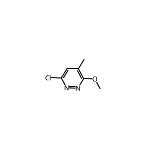 COc1nnc(Cl)cc1C